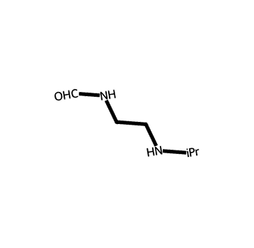 CC(C)NCCNC=O